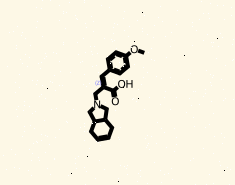 COc1ccc(/C=C(/CN2CC3CC=CCC3C2)C(=O)O)cc1